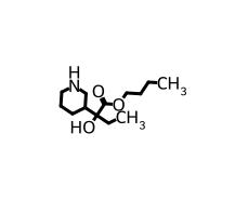 CCCCOC(=O)C(O)(CC)C1CCCNC1